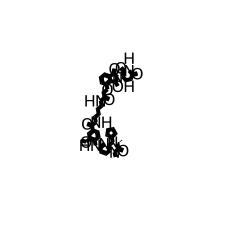 COc1cc(C(=O)NCCCCNC(=O)COc2cccc3c2C(O)N(C2CCC(=O)NC2=O)C3=O)ccc1Nc1ccc2c(n1)N(C1CCCC1)[C@H](C)C(=O)N2C